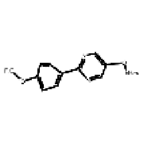 CCCCCCOc1cnc(-c2ccc(OC(F)(F)F)cc2)nc1